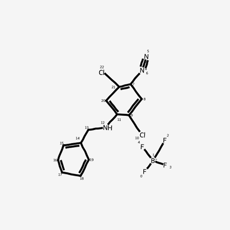 F[B-](F)(F)F.N#[N+]c1cc(Cl)c(NCc2ccccc2)cc1Cl